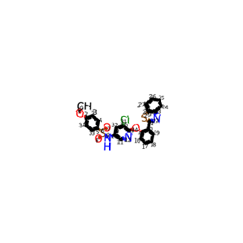 COc1ccc(S(=O)(=O)Nc2cnc(Oc3ccccc3-c3nc4ccccc4s3)c(Cl)c2)cc1